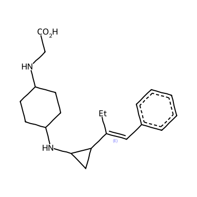 CC/C(=C\c1ccccc1)C1CC1NC1CCC(NCC(=O)O)CC1